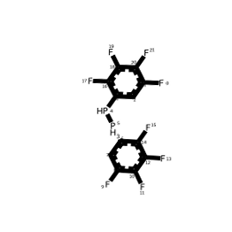 Fc1cc(P[PH3]c2cc(F)c(F)c(F)c2F)c(F)c(F)c1F